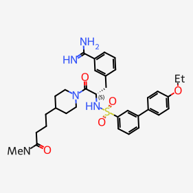 CCOc1ccc(-c2cccc(S(=O)(=O)N[C@@H](Cc3cccc(C(=N)N)c3)C(=O)N3CCC(CCCC(=O)NC)CC3)c2)cc1